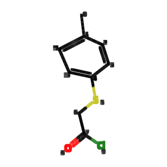 Cc1ccc(SCC(=O)Cl)cc1